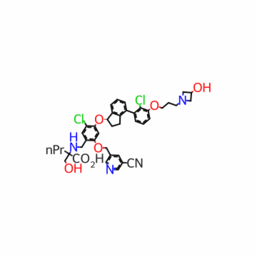 CCCC(CO)(NCc1cc(Cl)c(O[C@H]2CCc3c(-c4cccc(OCCCN5CC(O)C5)c4Cl)cccc32)cc1OCc1cncc(C#N)c1)C(=O)O